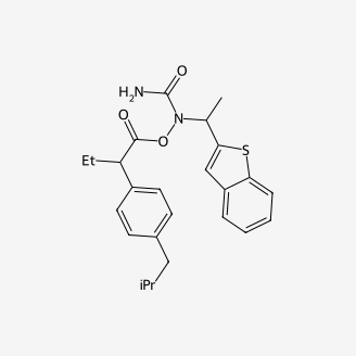 CCC(C(=O)ON(C(N)=O)C(C)c1cc2ccccc2s1)c1ccc(CC(C)C)cc1